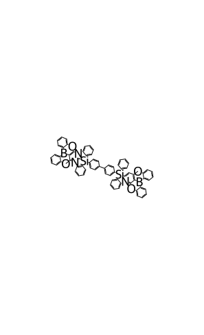 c1ccc([Si](c2ccccc2)(c2ccc(-c3ccc([Si](c4ccccc4)(c4ccccc4)c4nc5c6c(n4)Oc4ccccc4B6c4ccccc4O5)cc3)cc2)c2cc3c4c(n2)Oc2ccccc2B4c2ccccc2O3)cc1